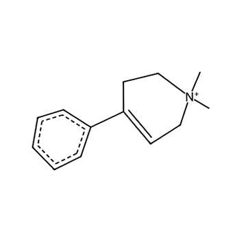 C[N+]1(C)CC=C(c2ccccc2)CC1